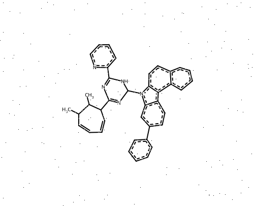 CC1C=CC=CC(C2=NC(n3c4cc(-c5ccccc5)ccc4c4c5ccccc5ccc43)NC(c3ccccn3)=N2)C1C